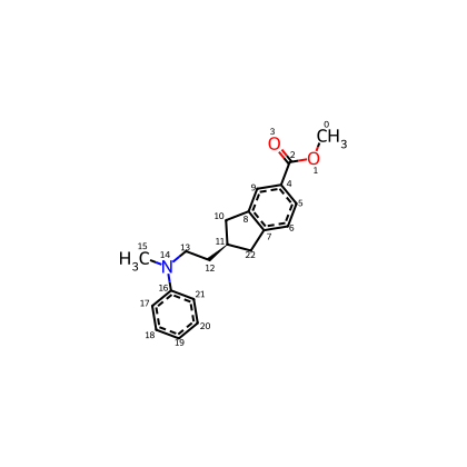 COC(=O)c1ccc2c(c1)C[C@H](CCN(C)c1ccccc1)C2